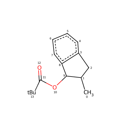 CC1Cc2ccccc2C1OC(=O)C(C)(C)C